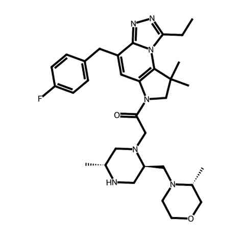 CCc1nnc2c(Cc3ccc(F)cc3)cc3c(n12)C(C)(C)CN3C(=O)CN1C[C@@H](C)NC[C@@H]1CN1CCOC[C@H]1C